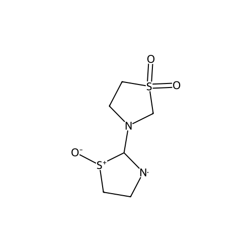 O=S1(=O)CCN(C2[N]CC[S+]2[O-])C1